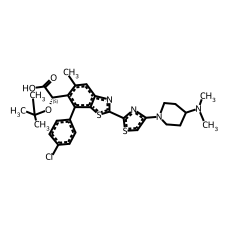 Cc1cc2nc(-c3nc(N4CCC(N(C)C)CC4)cs3)sc2c(-c2ccc(Cl)cc2)c1[C@H](OC(C)(C)C)C(=O)O